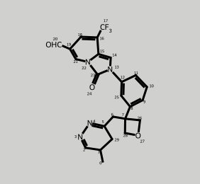 CC1C=NN=C(CC2(c3cccc(-n4cc5c(C(F)(F)F)cc(C=O)cn5c4=O)c3)COC2)C1